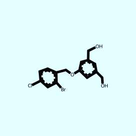 OCc1cc(CO)cc(OCc2ccc(Cl)cc2Br)c1